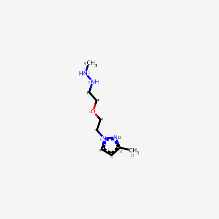 CNNCCOCCn1ccc(C)n1